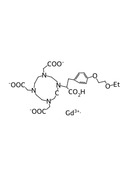 CCOCCOc1ccc(CC(C(=O)O)N2CCN(CC(=O)[O-])CCN(CC(=O)[O-])CCN(CC(=O)[O-])CC2)cc1.[Gd+3]